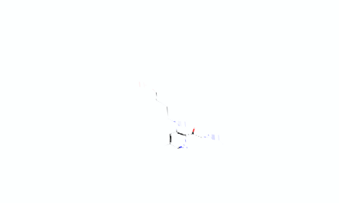 NCC(=O)c1ncc(C(F)(F)F)cc1NCCCCO